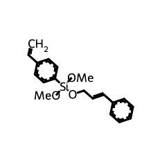 C=Cc1ccc([Si](OC)(OC)OCC=Cc2ccccc2)cc1